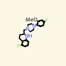 COc1cc(F)ccc1N1CCN(CC2CCc3c(F)cccc3N2)CC1